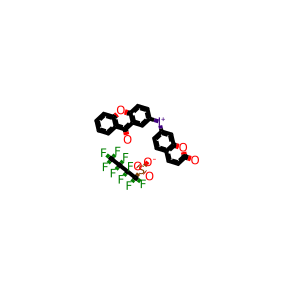 O=S(=O)([O-])C(F)(F)C(F)(F)C(F)(F)C(F)(F)F.O=c1ccc2ccc([I+]c3ccc4oc5ccccc5c(=O)c4c3)cc2o1